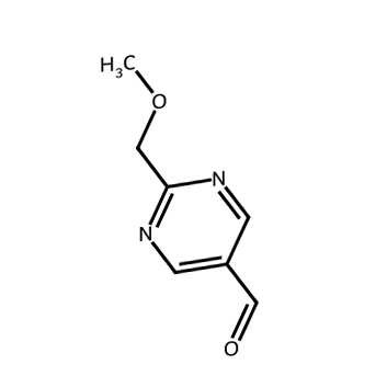 COCc1ncc(C=O)cn1